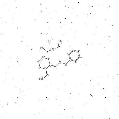 CC(C)[CH2][Al+][CH2]C(C)C.O=CC[C@H]1CC=CC[C@H]1COCc1ccccc1.[H-]